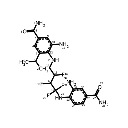 CC(C)c1cc(C(N)=O)cc(N)c1NCC(F)C(F)C(F)(F)Nc1ccc(C(N)=O)cc1N